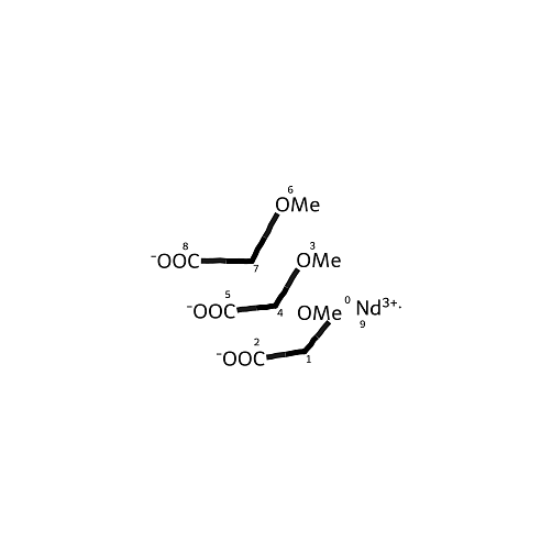 COCC(=O)[O-].COCC(=O)[O-].COCC(=O)[O-].[Nd+3]